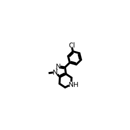 Cn1nc(-c2cccc(Cl)c2)c2c1CCNC2